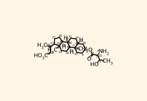 CC(O)[C@H](N)C(=O)O[C@@H]1CC[C@@]2(C)[C@H](CC[C@@H]3[C@@H]2CC[C@]2(C)C([C@H](C)CC(=O)O)CC[C@@H]32)C1